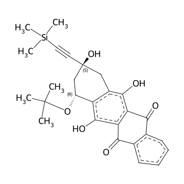 CC(C)(C)O[C@@H]1C[C@](O)(C#C[Si](C)(C)C)Cc2c(O)c3c(c(O)c21)C(=O)c1ccccc1C3=O